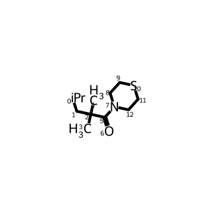 CC(C)CC(C)(C)C(=O)N1CCSCC1